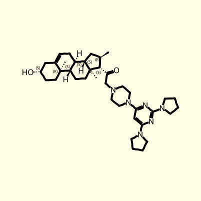 C[C@@H]1C[C@H]2[C@@H]3CC=C4C[C@@H](O)CC[C@]4(C)[C@H]3CC[C@]2(C)[C@H]1C(=O)CN1CCN(c2cc(N3CCCC3)nc(N3CCCC3)n2)CC1